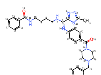 Cc1nnc2c(NCCCCNC(=O)c3ccccc3)nc3ccc(C(=O)N4CCN(Cc5ccccc5)CC4)cc3n12